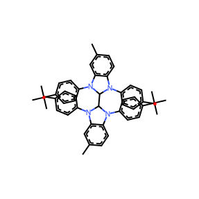 Cc1ccc(N2c3ccc(C)cc3N(c3ccc(C(C)(C)C)cc3)C2C2N(c3ccc(C(C)(C)C)cc3)c3ccc(C)cc3N2c2ccc(C)cc2)cc1